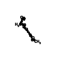 CCCC(=O)OCCOCCCCCCOCCOC(=O)CCN(C)CCCN1CCCC1=O